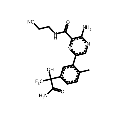 Cc1ccc(C(O)(C(N)=O)C(F)(F)F)cc1-c1cnc(N)c(C(=O)NCCC#N)n1